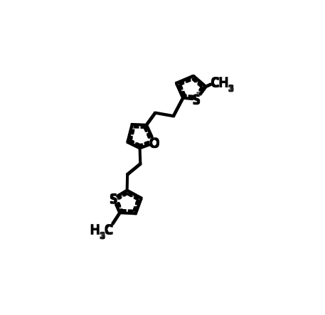 Cc1ccc(CCc2ccc(CCc3ccc(C)s3)o2)s1